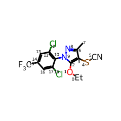 CCOc1c(SC#N)c(C)nn1-c1c(Cl)cc(C(F)(F)F)cc1Cl